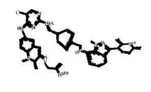 C=C(COC1=Cc2cc(Nc3nc(NCC4CCC(CNc5cccc6c(C7CCC(=C)NC7=C)nn(C)c56)CC4)ncc3Cl)ccc2N(C)C1=C)NC